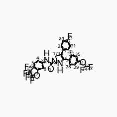 O=C(Nc1ccc2c(c1)OC(F)(F)C2(F)F)N1CC(c2ccc(F)cc2)=C(c2ccc(OC(F)F)cc2)N1